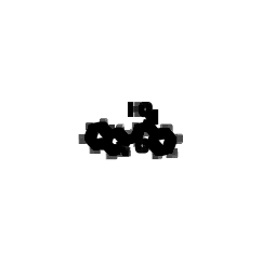 O/N=c1\cc(-c2cc3ccccc3cn2)oc2ccccc12